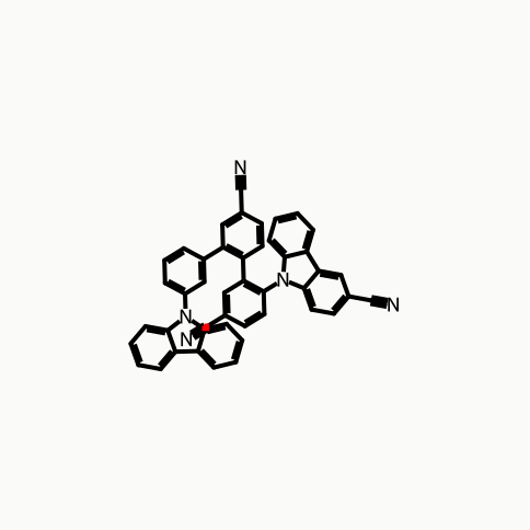 N#Cc1ccc(-c2cc(C#N)ccc2-n2c3ccccc3c3cc(C#N)ccc32)c(-c2cccc(-n3c4ccccc4c4ccccc43)c2)c1